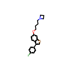 Fc1ccc(-c2csc3cc(OCCCCN4CCC4)ccc23)cc1